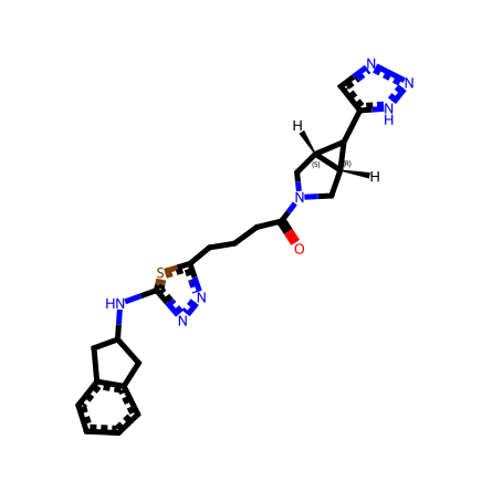 O=C(CCCc1nnc(NC2Cc3ccccc3C2)s1)N1C[C@@H]2C(c3cnn[nH]3)[C@@H]2C1